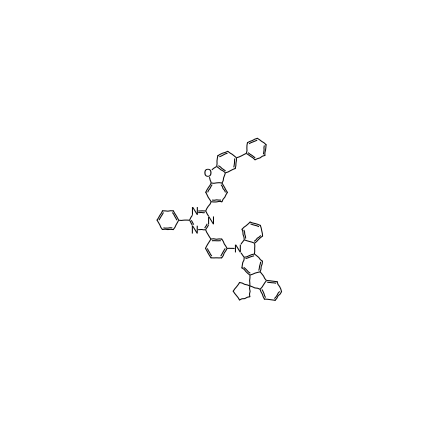 c1ccc(-c2ccc3oc4cc(-c5nc(-c6ccccc6)nc(-c6cccc(-n7c8ccccc8c8cc9c(cc87)C7(CCCC7)c7ccccc7-9)c6)n5)ccc4c3c2)cc1